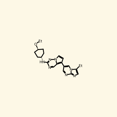 CCO[C@H]1CC[C@H](Nc2ncc3c(-c4cnc5ncc(CC)n5c4)ccn3n2)CC1